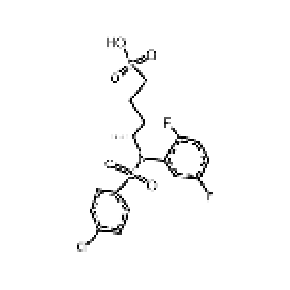 C[C@H](CCCS(=O)(=O)O)N(c1cc(F)ccc1F)S(=O)(=O)c1ccc(Cl)cc1